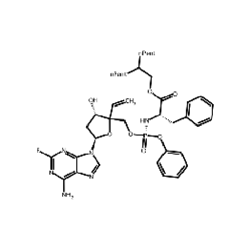 C=C[C@]1(CO[P@@](=O)(N[C@@H](Cc2ccccc2)C(=O)OCC(CCCCC)CCCCC)Oc2ccccc2)O[C@@H](n2cnc3c(N)nc(F)nc32)C[C@@H]1O